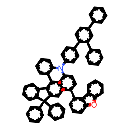 c1ccc(-c2ccc(-c3ccc(N(c4ccc(-c5cccc6oc7ccccc7c56)cc4)c4ccccc4-c4cccc5c4-c4ccccc4C5(c4ccccc4)c4ccccc4)cc3)c(-c3ccccc3)c2)cc1